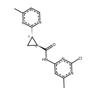 Cc1cc(NC(=O)[C@H]2C[C@@H]2c2nccc(C)n2)nc(Cl)n1